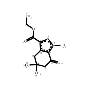 CCOC(=O)c1nn(C)c2c1CC(C)(C)CC2=O